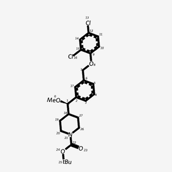 CO[C@@H](c1cccc(COc2ccc(Cl)cc2Cl)c1)C1CCN(C(=O)OC(C)(C)C)CC1